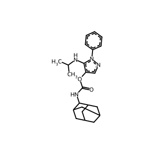 CC(C)Nc1c(OC(=O)NC2C3CC4CC(C3)CC2C4)cnn1-c1ccccc1